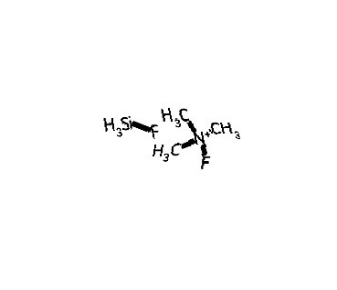 C[N+](C)(C)F.F[SiH3]